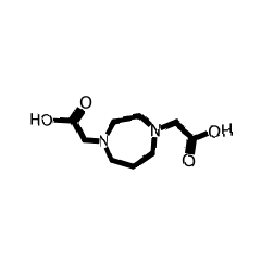 O=C(O)CN1CCCN(CC(=O)O)CC1